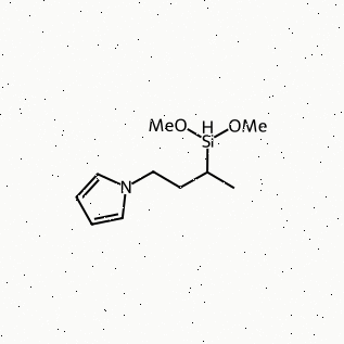 CO[SiH](OC)C(C)CCn1cccc1